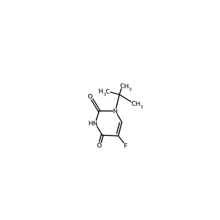 CC(C)(C)n1cc(F)c(=O)[nH]c1=O